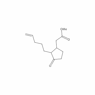 C=CCCCC1C(=O)CCC1CC(=O)OC